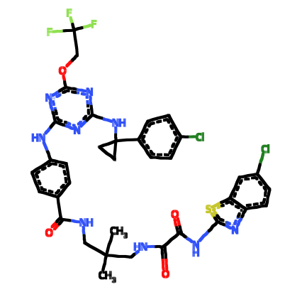 CC(C)(CNC(=O)C(=O)Nc1nc2ccc(Cl)cc2s1)CNC(=O)c1ccc(Nc2nc(NC3(c4ccc(Cl)cc4)CC3)nc(OCC(F)(F)F)n2)cc1